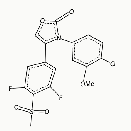 COc1cc(-n2c(-c3cc(F)c(S(C)(=O)=O)c(F)c3)coc2=O)ccc1Cl